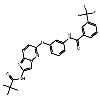 CC(C)(C)C(=O)Nc1cn2nc(Oc3cccc(NC(=O)c4cccc(C(F)(F)F)c4)c3)ccc2n1